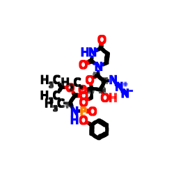 CO[C@]1(COP(=O)(N[C@H](C)C(=O)OC(C)C)Oc2ccccc2)O[C@@H](n2ccc(=O)[nH]c2=O)[C@H](N=[N+]=[N-])[C@@H]1O